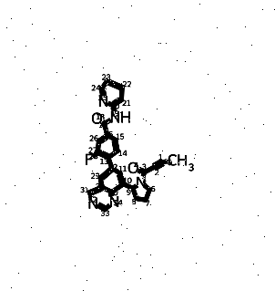 CC#CC(=O)N1CCCC1c1cc(-c2ccc(C(=O)Nc3ccccn3)cc2F)cc2cncnc12